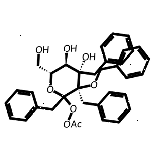 CC(=O)OOC1(Cc2ccccc2)O[C@H](CO)[C@@H](O)[C@@](O)(Cc2ccccc2)[C@@]1(Cc1ccccc1)OCc1ccccc1